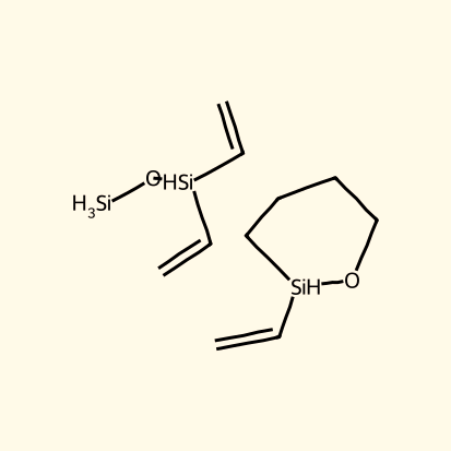 C=C[SiH](C=C)O[SiH3].C=C[SiH]1CCCCO1